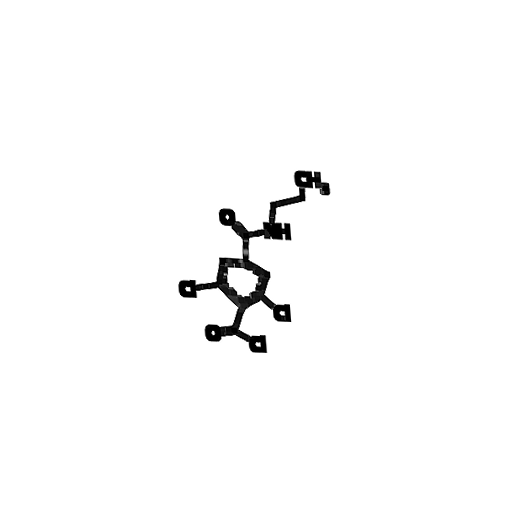 CCCNC(=O)c1cc(Cl)c(C(=O)Cl)c(Cl)c1